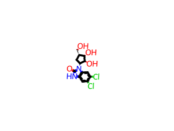 O=c1[nH]c2cc(Cl)c(Cl)cc2n1[C@@H]1C[C@H](CO)[C@@H](O)[C@H]1O